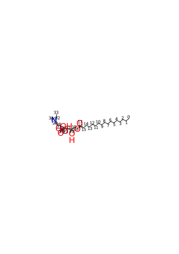 CCCCCCCCCCCCCCCCC(=O)OCC(O)COP(=O)(O)OCCN(C)CC